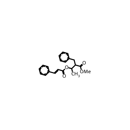 COC(=O)C(Cc1ccccc1)C(C)OC(=O)C=Cc1ccccc1